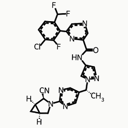 C[C@H](c1cnc(N2C[C@H]3C[C@H]3[C@H]2C#N)nc1)n1cc(NC(=O)c2cncc(-c3c(C(F)F)ccc(Cl)c3F)n2)cn1